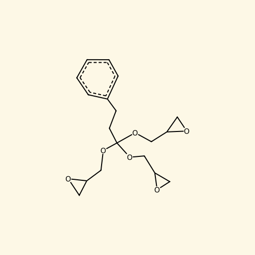 c1ccc(CCC(OCC2CO2)(OCC2CO2)OCC2CO2)cc1